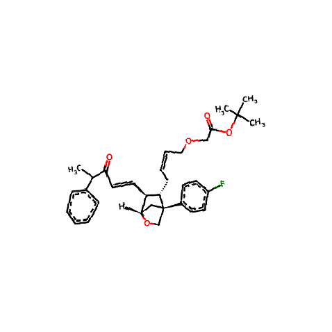 CC(C(=O)/C=C/[C@@H]1[C@@H]2C[C@@](c3ccc(F)cc3)(CO2)[C@H]1C/C=C\COCC(=O)OC(C)(C)C)c1ccccc1